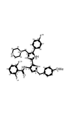 COc1ccc(Cn2cc(NC(=O)c3c(F)cccc3F)c(-c3nc(CN4CCOCC4)c(-c4ccc(F)cc4)[nH]3)n2)cc1